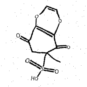 CC1(S(=O)(=O)O)CC(=O)C2=C(OC=CO2)C1=O